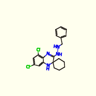 Clc1cc(Cl)c2c(c1)NC1(CCCCC1)C(NNCc1ccccc1)=N2